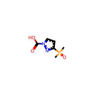 CP(C)(=O)c1ccn(C(=O)O)n1